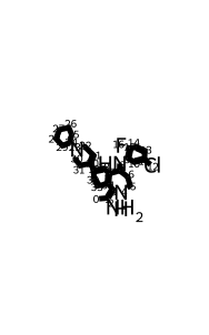 C/C(N)=C1/NCCC(Nc2cc(Cl)ccc2F)c2cc(C3=CCN(C4CCCCC4)CC3)ccc21